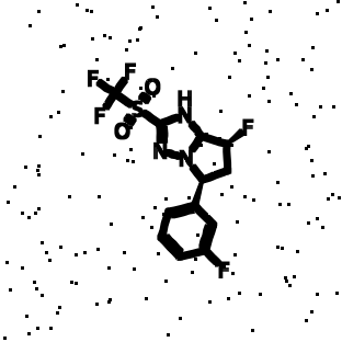 O=S(=O)(C1=NN2C(N1)[C@@H](F)C[C@H]2c1cccc(F)c1)C(F)(F)F